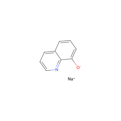 [Na+].[O-]c1cccc2cccnc12